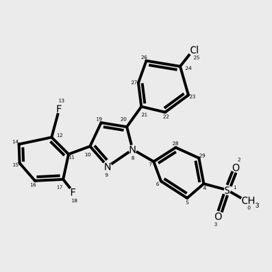 CS(=O)(=O)c1ccc(-n2nc(-c3c(F)cccc3F)cc2-c2ccc(Cl)cc2)cc1